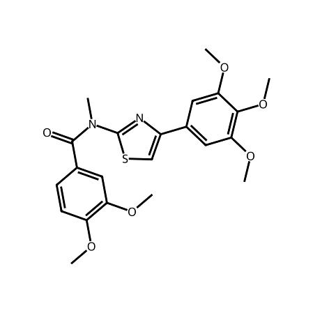 COc1ccc(C(=O)N(C)c2nc(-c3cc(OC)c(OC)c(OC)c3)cs2)cc1OC